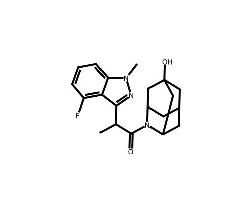 CC(C(=O)N1C2CC3CC1CC(O)(C3)C2)c1nn(C)c2cccc(F)c12